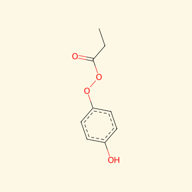 CCC(=O)OOc1ccc(O)cc1